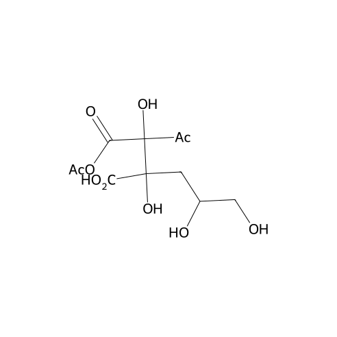 CC(=O)OC(=O)C(O)(C(C)=O)C(O)(CC(O)CO)C(=O)O